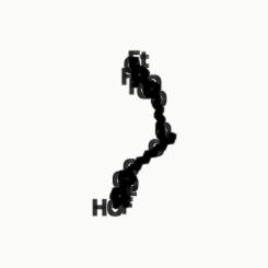 C=CC(COCCCCCOC1COC(c2ccc(O)c(F)c2F)OC1)COCCCCCOC1COC(c2ccc(OCC)c(F)c2F)OC1